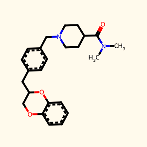 CN(C)C(=O)C1CCN(Cc2ccc(CC3COc4ccccc4O3)cc2)CC1